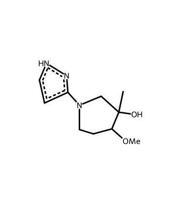 COC1CCN(c2cc[nH]n2)CC1(C)O